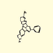 CC(C)C1=Cc2cc3c(cc2CC1)N1c2cc4ccc(C(C)C)cc4cc2C2=CC(c4ccccc4)=CC3C21